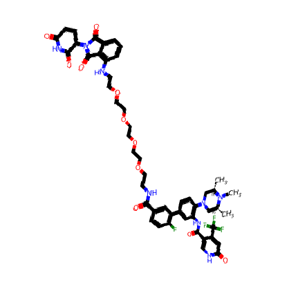 C[C@@H]1CN(c2ccc(-c3cc(C(=O)NCCOCCOCCOCCOCCNc4cccc5c4C(=O)N(C4CCC(=O)NC4=O)C5=O)ccc3F)cc2NC(=O)c2c[nH]c(=O)cc2C(F)(F)F)C[C@H](C)N1C